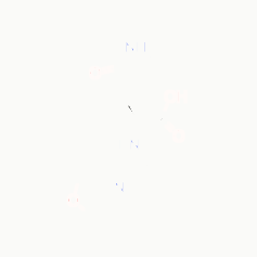 NC(=O)CC[C@H](Nc1ccccc1N1CCOCC1)C(=O)O